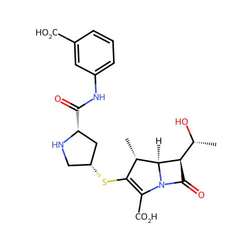 C[C@@H](O)[C@H]1C(=O)N2C(C(=O)O)=C(S[C@@H]3CN[C@H](C(=O)Nc4cccc(C(=O)O)c4)C3)[C@H](C)[C@@H]12